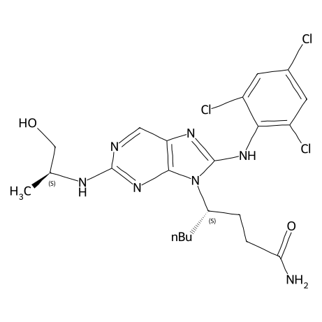 CCCC[C@@H](CCC(N)=O)n1c(Nc2c(Cl)cc(Cl)cc2Cl)nc2cnc(N[C@@H](C)CO)nc21